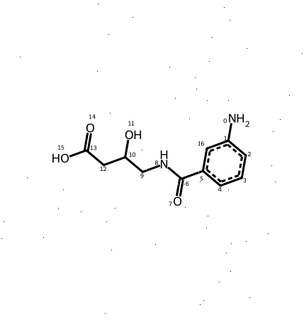 Nc1cccc(C(=O)NCC(O)CC(=O)O)c1